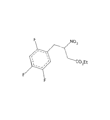 CCOC(=O)CC(Cc1cc(F)c(F)cc1F)[N+](=O)[O-]